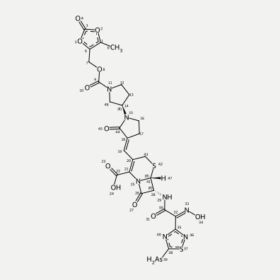 Cc1oc(=O)oc1COC(=O)N1CC[C@@H](N2CCC(=CC3=C(C(=O)O)N4C(=O)[C@@H](NC(=O)C(=NO)c5nsc([AsH2])n5)[C@H]4SC3)C2=O)C1